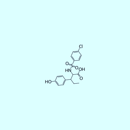 CCC(c1ccc(O)cc1)C(NS(=O)(=O)c1ccc(Cl)cc1)C(=O)O